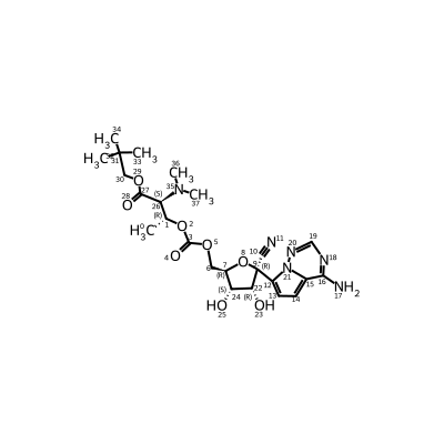 C[C@@H](OC(=O)OC[C@H]1O[C@@](C#N)(c2ccc3c(N)ncnn23)[C@H](O)[C@@H]1O)[C@@H](C(=O)OCC(C)(C)C)N(C)C